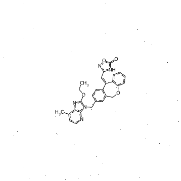 CCOc1nc2c(C)ccnc2n1Cc1ccc2c(c1)COc1ccccc1C2=Cc1noc(=O)[nH]1